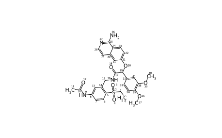 CCS(=O)(=O)c1ccc(NC(C)=O)cc1CNC(=O)C(Oc1ccc2c(N)nccc2c1)c1ccc(OC)c(OC)c1